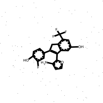 Nc1ccoc1C1=C(c2ccc(O)c(F)c2)Cc2c1cc(O)cc2C(F)(F)F